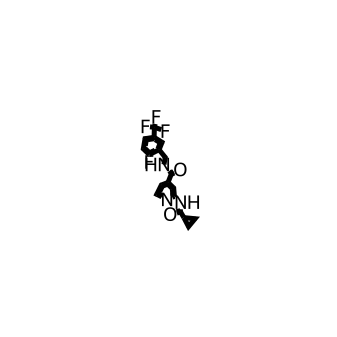 O=C(NCc1cc(C(F)(F)F)ccc1F)c1ccnc(NC(=O)C2CC2)c1